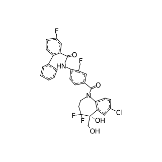 O=C(Nc1ccc(C(=O)N2CCC(F)(F)[C@](O)(CO)c3cc(Cl)ccc32)cc1F)c1cc(F)ccc1-c1ccccc1